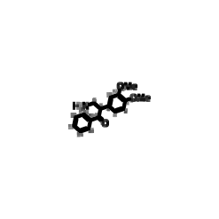 COc1ccc(C(CN)C(=O)c2ccccc2)cc1OC